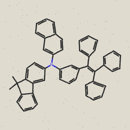 CC1(C)c2ccccc2-c2cc(N(c3cccc(C(=C(c4ccccc4)c4ccccc4)c4ccccc4)c3)c3ccc4ccccc4c3)ccc21